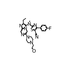 CCc1nc2cnc(N3CCN(CC=O)CC3)cn2c1N(C)c1nc(-c2ccc(F)cc2)c(C#N)s1